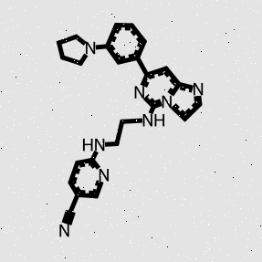 N#Cc1ccc(NCCNc2nc(-c3cccc(N4CCCC4)c3)cc3nccn23)nc1